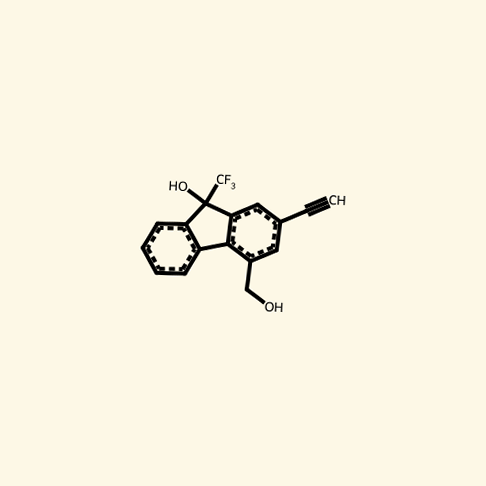 C#Cc1cc(CO)c2c(c1)C(O)(C(F)(F)F)c1ccccc1-2